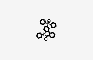 O=c1c2ccccc2c2cc(P(=O)(c3ccccc3)c3ccccc3)ccc2n1-c1ccccc1